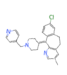 Cc1cnc2c(c1)CCc1cc(Cl)ccc1C2=C1CCN(Cc2ccncc2)CC1